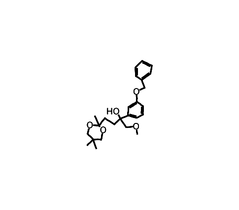 COCC(O)(CCC1(C)OCC(C)(C)CO1)c1cccc(OCc2ccccc2)c1